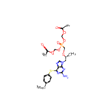 COc1ccc(Sc2nc(N)nc3c2ncn3CC(C)OCP(=O)(OCOC(=O)C(C)C)OCOC(=O)C(C)C)cc1